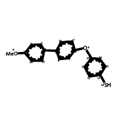 COc1ccc(-c2ccc(Oc3ccc(S)cc3)cc2)cc1